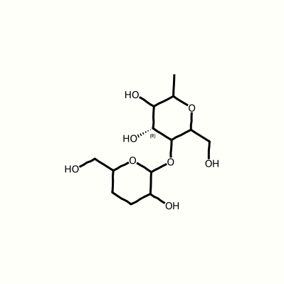 CC1OC(CO)C(OC2OC(CO)CCC2O)[C@H](O)C1O